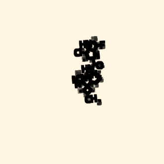 CC1CC(c2cccc(NC(=O)c3cc(Cl)c4[nH]cc(F)c4n3)c2)(c2nncn2C)C1